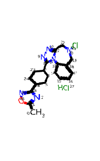 Cc1nc(C2CCC(c3nnc4n3-c3ccccc3CN(Cl)C4)CC2)no1.Cl